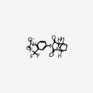 O=C1[C@@H]2[C@@H]3CC[C@@H](C3)N2C(=O)N1c1ccc([N+](=O)[O-])c(C(F)(F)F)c1